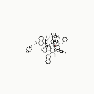 Cc1ccc(-n2nc(C(C)(C)C)cc2N(C(=O)Nc2ccc(OCCN3CCOCC3)c3ccccc23)N2C(c3ccncc3)=C(c3ccc4ccccc4c3)C(=O)N(C)C2NC[C@@H](N)Cc2ccccc2)cc1